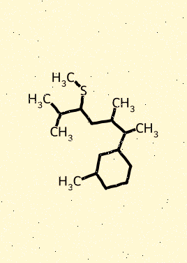 CSC(CC(C)C(C)C1CCCC(C)C1)C(C)C